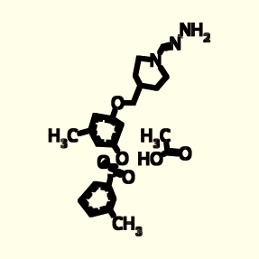 CC(=O)O.Cc1cc(OCC2CCN(C=NN)CC2)cc(OS(=O)(=O)c2cccc(C)c2)c1